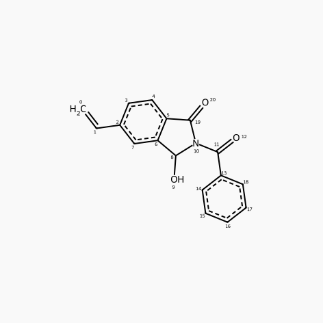 C=Cc1ccc2c(c1)C(O)N(C(=O)c1ccccc1)C2=O